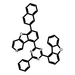 c1ccc(-c2nc(-c3cccc4oc5ccccc5c34)nc(-c3ccc(-c4ccc5ccccc5c4)c4oc5ccncc5c34)n2)cc1